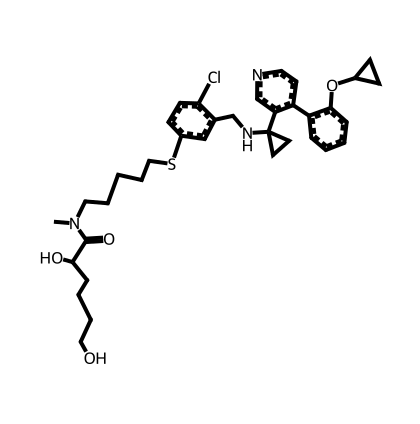 CN(CCCCCSc1ccc(Cl)c(CNC2(c3cnccc3-c3ccccc3OC3CC3)CC2)c1)C(=O)C(O)CCCCO